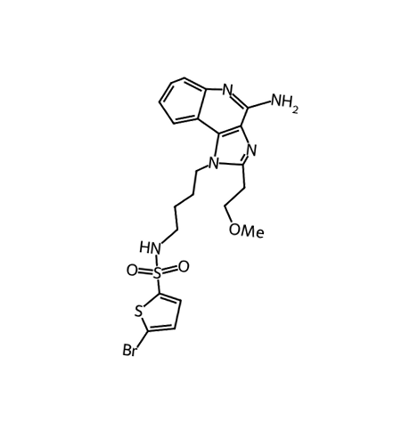 COCCc1nc2c(N)nc3ccccc3c2n1CCCCNS(=O)(=O)c1ccc(Br)s1